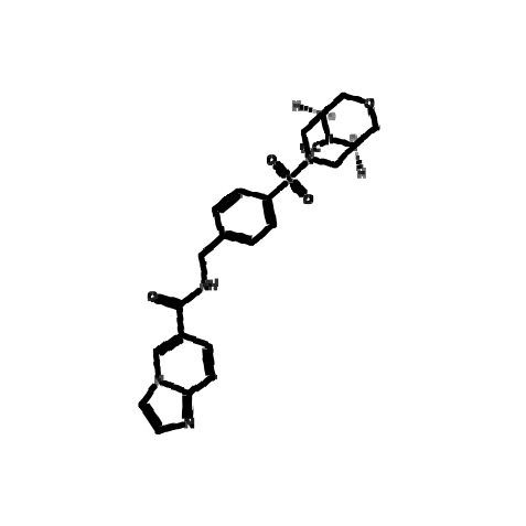 CN1[C@@H]2COC[C@H]1CN(S(=O)(=O)c1ccc(CNC(=O)c3ccc4nccn4c3)cc1)C2